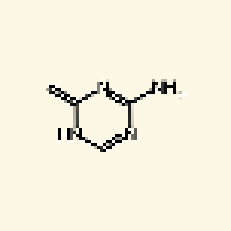 C=C1N=C(N)N=CN1